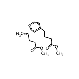 C=CCCC(=O)OC.COC(=O)CCCc1ccccc1